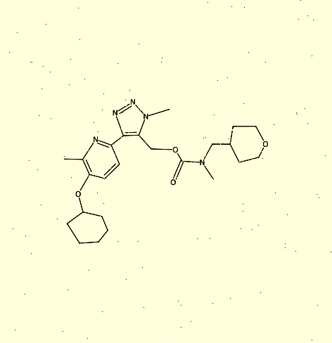 Cc1nc(-c2nnn(C)c2COC(=O)N(C)CC2CCOCC2)ccc1OC1CCCCC1